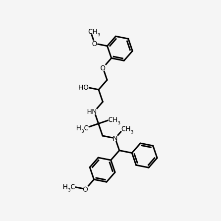 COc1ccc(C(c2ccccc2)N(C)CC(C)(C)NCC(O)COc2ccccc2OC)cc1